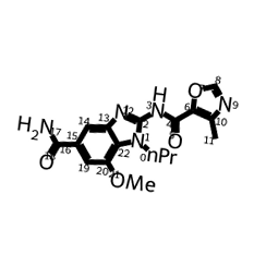 CCCn1c(NC(=O)c2ocnc2C)nc2cc(C(N)=O)cc(OC)c21